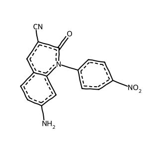 N#Cc1cc2ccc(N)cc2n(-c2ccc([N+](=O)[O-])cc2)c1=O